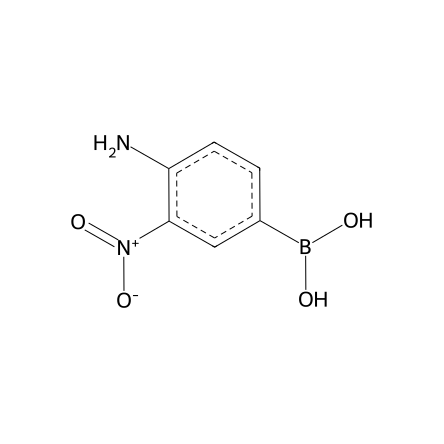 Nc1ccc(B(O)O)cc1[N+](=O)[O-]